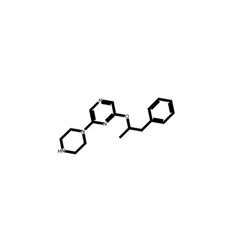 CC(Cc1ccccc1)Oc1cncc(N2CCNCC2)n1